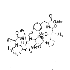 CC[C@H](C)[C@@H]([C@@H](CC(=O)N1CCC[C@H]1[C@H](OC)[C@@H](C)C(=O)N[C@@H](Cc1ccccc1)C(=O)OC)OC)N(C)C(=O)C(NC(=O)[C@H](C(C)C)N(C)C[C@@H](C)N)C(C)C